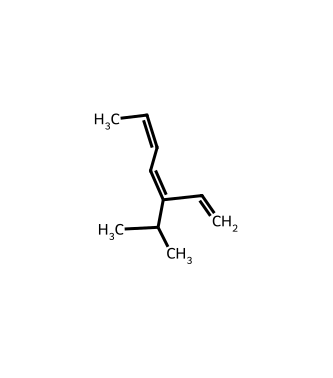 C=C/C(=C\C=C/C)C(C)C